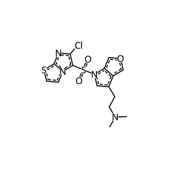 CN(C)CCc1cn(S(=O)(=O)c2c(Cl)nc3sccn23)c2cocc12